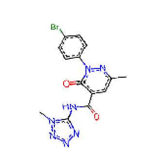 Cc1cc(C(=O)Nc2nnnn2C)c(=O)n(-c2ccc(Br)cc2)n1